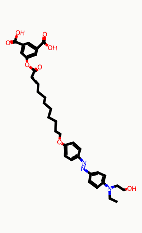 CCN(CCO)c1ccc(N=Nc2ccc(OCCCCCCCCCCC(=O)Oc3cc(C(=O)O)cc(C(=O)O)c3)cc2)cc1